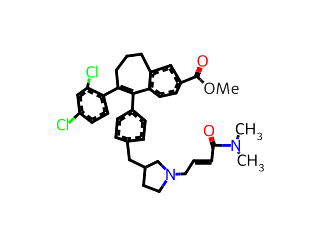 COC(=O)c1ccc2c(c1)CCCC(c1ccc(Cl)cc1Cl)=C2c1ccc(CC2CCN(CC=CC(=O)N(C)C)C2)cc1